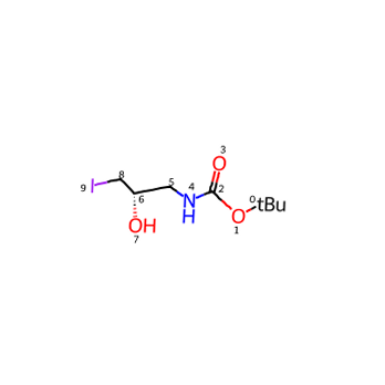 CC(C)(C)OC(=O)NC[C@H](O)CI